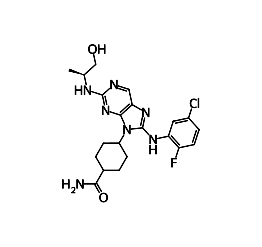 C[C@@H](CO)Nc1ncc2nc(Nc3cc(Cl)ccc3F)n(C3CCC(C(N)=O)CC3)c2n1